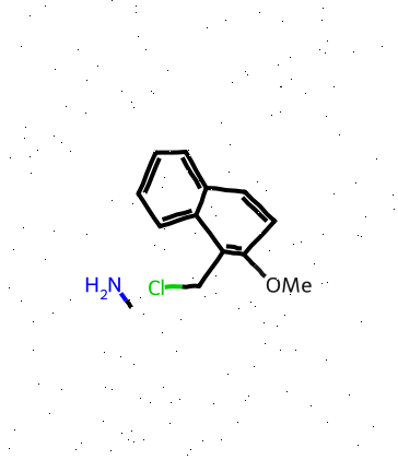 CN.COc1ccc2ccccc2c1CCl